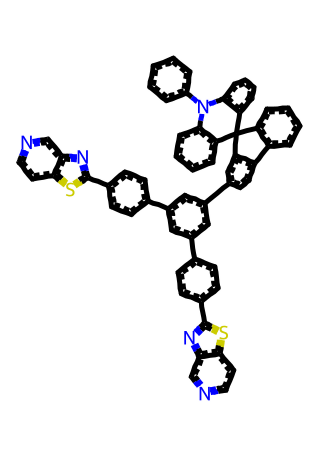 c1ccc(N2c3ccccc3C3(c4ccccc4-c4ccc(-c5cc(-c6ccc(-c7nc8cnccc8s7)cc6)cc(-c6ccc(-c7nc8cnccc8s7)cc6)c5)cc43)c3ccccc32)cc1